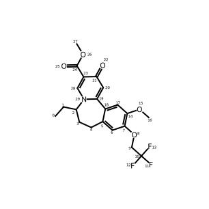 CCC1CCc2cc(OCC(F)(F)F)c(OC)cc2-c2cc(=O)c(C(=O)OC)cn21